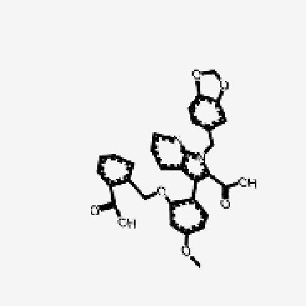 COc1ccc(-c2c(C(=O)O)n(Cc3ccc4c(c3)OCO4)c3ncccc23)c(OCc2ccccc2C(=O)O)c1